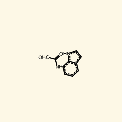 NC(=O)C=O.c1ccc2[nH]ccc2c1